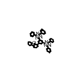 c1ccc(-c2nc(-c3ccccc3)nc(-c3cc(-c4nc(-c5ccccc5)nc(-c5ccccc5)n4)cc(-c4cccc5c4oc4ccccc45)c3)n2)cc1